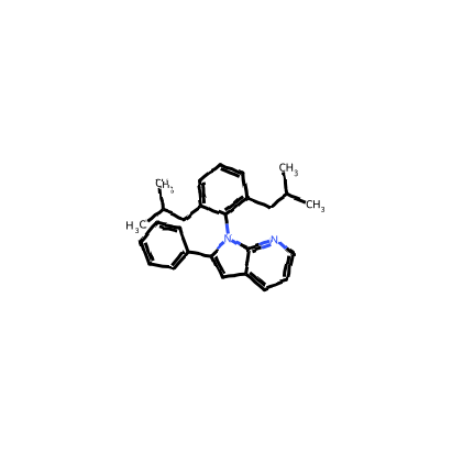 CC(C)Cc1cccc(CC(C)C)c1-n1c(-c2ccccc2)cc2cccnc21